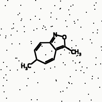 Cc1onc2c1C=CC(C)C=C2